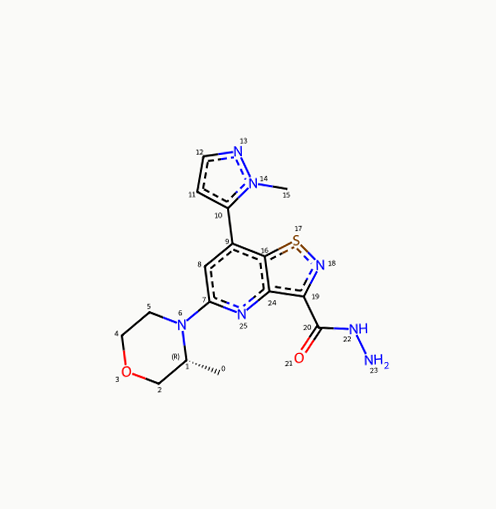 C[C@@H]1COCCN1c1cc(-c2ccnn2C)c2snc(C(=O)NN)c2n1